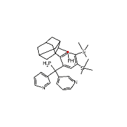 C[Si](C)(C)c1cc(C(P)(c2cccnc2)c2cccnc2)c(C23CC4CC(CC(C4)C2CP)C3)cc1[Si](C)(C)C